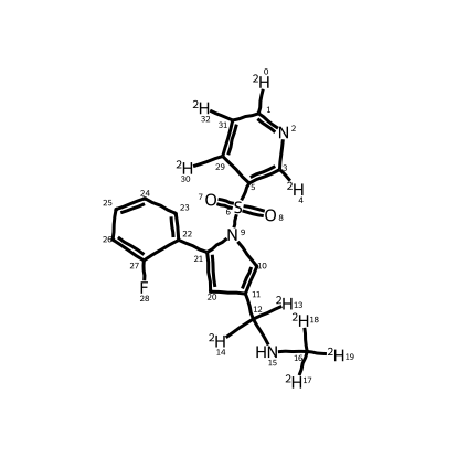 [2H]c1nc([2H])c(S(=O)(=O)n2cc(C([2H])([2H])NC([2H])([2H])[2H])cc2-c2ccccc2F)c([2H])c1[2H]